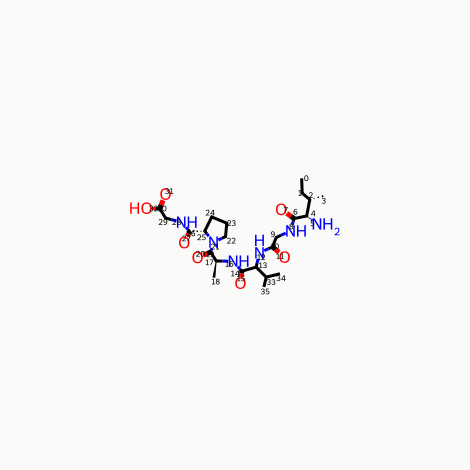 CC[C@H](C)[C@H](N)C(=O)NCC(=O)NC(C(=O)N[C@@H](C)C(=O)N1CCC[C@H]1C(=O)NCC(=O)O)C(C)C